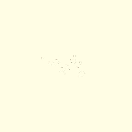 CN(C)CCNc1cc(F)cc(-c2ccnc3[nH]c(-c4n[nH]c5ccc(-c6cncc(O)c6)cc45)cc23)c1